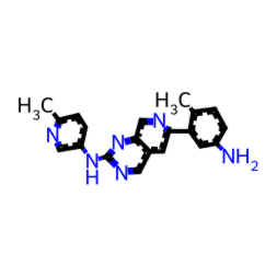 Cc1ccc(Nc2ncc3cc(-c4cc(N)ccc4C)ncc3n2)cn1